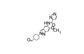 COc1cc2nn([C@H]3CC[C@H](C=O)CC3)cc2cc1NC(=O)c1ccncn1